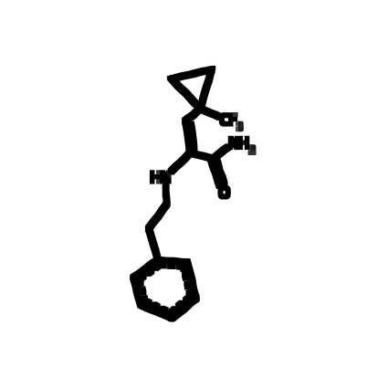 NC(=O)C(=CC1(C(F)(F)F)CC1)NCCc1ccccc1